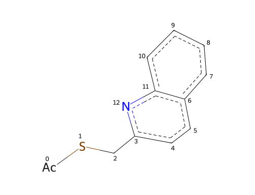 CC(=O)SCc1ccc2ccccc2n1